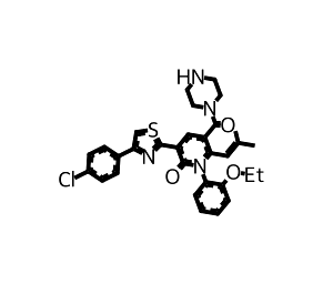 CCOc1ccccc1-n1c(C=C(C)C)c(C(=O)N2CCNCC2)cc(-c2nc(-c3ccc(Cl)cc3)cs2)c1=O